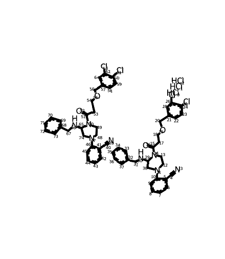 Cl.Cl.Cl.N#Cc1ccccc1N1CCN(C(=O)CCOCc2ccc(Cl)c(Cl)c2)C(NCc2ccccc2)C1.N#Cc1ccccc1N1CCN(C(=O)CCOCc2ccc(Cl)c(Cl)c2)C(NCc2ccccc2)C1